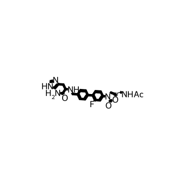 CC(=O)NC[C@H]1CN(c2ccc(-c3ccc(CNC(Cc4c[nH]cn4)C(N)=O)cc3)c(F)c2)C(=O)O1